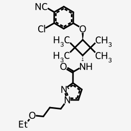 CCOCCCn1ccc(C(=O)N[C@H]2C(C)(C)[C@H](Oc3ccc(C#N)c(Cl)c3)C2(C)C)n1